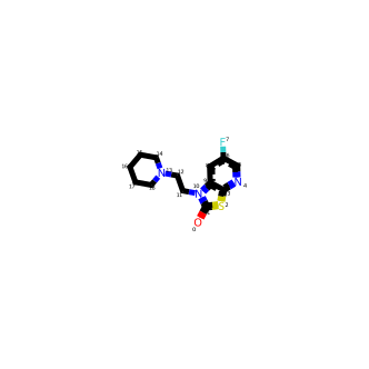 O=c1sc2ncc(F)cc2n1CCN1CC[CH]CC1